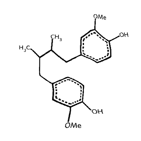 COc1cc(CC(C)C(C)Cc2ccc(O)c(OC)c2)ccc1O